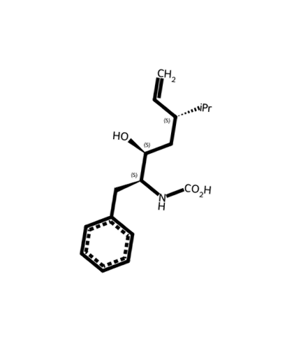 C=C[C@@H](C[C@H](O)[C@H](Cc1ccccc1)NC(=O)O)C(C)C